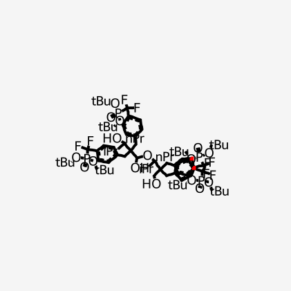 CCCC(O)(C(C)C)C(Cc1ccc(C(F)(F)P(=O)(OC(C)(C)C)OC(C)(C)C)cc1)(Cc1ccc(C(F)(F)P(=O)(OC(C)(C)C)OC(C)(C)C)cc1)C(O)OC(CCC)(C(C)C)C(CO)(Cc1ccc(C(F)(F)P(=O)(OC(C)(C)C)OC(C)(C)C)cc1)Cc1ccc(C(F)(F)P(=O)(OC(C)(C)C)OC(C)(C)C)cc1